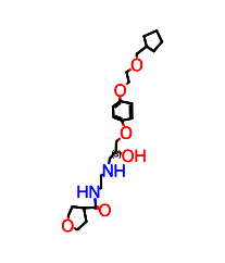 O=C(NCCNC[C@H](O)COc1ccc(OCCOCC2CCCC2)cc1)C1CCOCC1